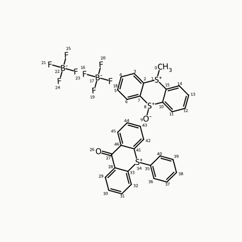 C[S+]1c2ccccc2[S+]([O-])c2ccccc21.F[B-](F)(F)F.F[B-](F)(F)F.O=c1c2ccccc2[s+](-c2ccccc2)c2ccccc12